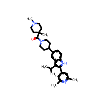 Cc1cc(-c2[nH]c3ccc(C4CCN(C(=O)C5(C)CCN(C)CC5)CC4)cc3c2C(C)C)cc(C)n1